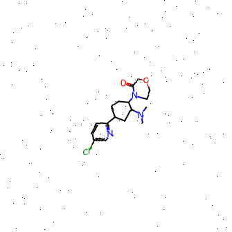 CN(C)C1CC(c2ccc(Cl)cn2)C[CH]C1N1CCOCC1=O